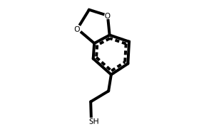 SCCc1ccc2c(c1)OCO2